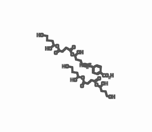 O=C(CCC(=O)OC(O)CCCO)OC(O)CCCO.O=C(CCC(=O)OC(O)CCCO)OC(O)CCCO.O=C(O)c1ccc(C(=O)O)cc1